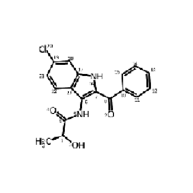 C[C@H](O)C(=O)Nc1c(C(=O)c2ccccc2)[nH]c2cc(Cl)ccc12